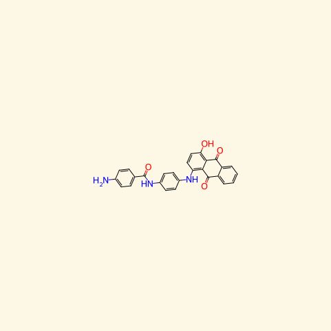 Nc1ccc(C(=O)Nc2ccc(Nc3ccc(O)c4c3C(=O)c3ccccc3C4=O)cc2)cc1